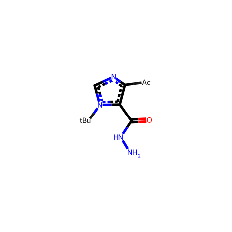 CC(=O)c1ncn(C(C)(C)C)c1C(=O)NN